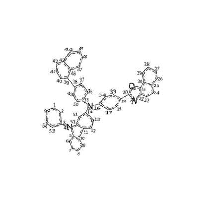 c1ccc(-n2c3ccccc3c3ccc(N(c4ccc(-c5nc6ccc7ccccc7c6o5)cc4)c4ccc(-c5cccc6ccccc56)cc4)cc32)cc1